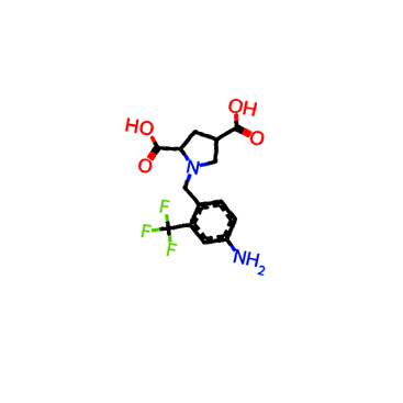 Nc1ccc(CN2CC(C(=O)O)CC2C(=O)O)c(C(F)(F)F)c1